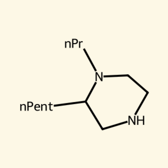 [CH2]CCN1CCNCC1CCCCC